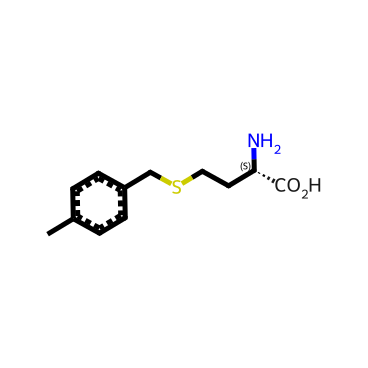 Cc1ccc(CSCC[C@H](N)C(=O)O)cc1